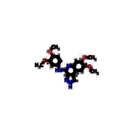 COc1ccc(Nc2nc3cc(OC)c(OC)cc3c3c[nH]nc23)cc1OC